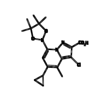 Cc1c(C2CC2)cc(B2OC(C)(C)C(C)(C)O2)n2nc(C(=O)O)c(Cl)c12